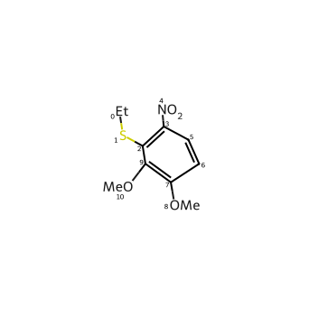 CCSc1c([N+](=O)[O-])ccc(OC)c1OC